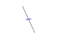 CCCCCCCCCCCCCCCCCCNCCCCCCCCCCCCCCCCCC.I